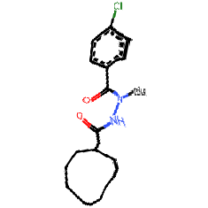 CC(C)(C)N(NC(=O)C1CCCCCCC1)C(=O)c1ccc(Cl)cc1